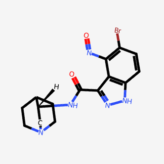 O=Nc1c(Br)ccc2[nH]nc(C(=O)N[C@@H]3CN4CCC3CC4)c12